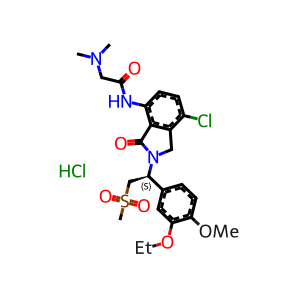 CCOc1cc([C@@H](CS(C)(=O)=O)N2Cc3c(Cl)ccc(NC(=O)CN(C)C)c3C2=O)ccc1OC.Cl